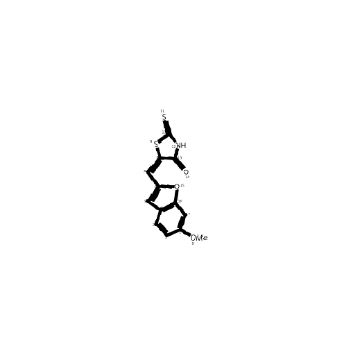 COc1ccc2cc(C=C3SC(=S)NC3=O)oc2c1